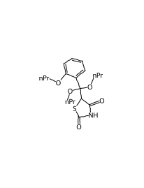 CCCOc1ccccc1C(OCCC)(OCCC)C1SC(=O)NC1=O